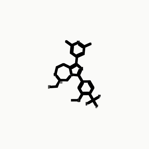 COc1cc(-c2nc(-c3cc(C)nc(C)c3)c3n2C[C@@H](CF)OCC3)ccc1C(F)(F)F